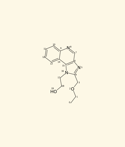 CCOCc1nc2cnc3ccccc3c2n1CCO